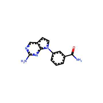 NC(=O)c1cccc(-n2ccc3cnc(N)nc32)c1